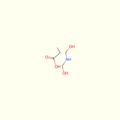 CCC(=O)O.OCNCO